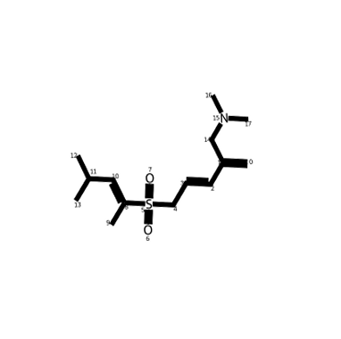 C=C(/C=C/CS(=O)(=O)/C(C)=C/C(C)C)CN(C)C